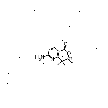 C[C@@H]1OC(=O)c2ccc(N)nc2C1(C)C